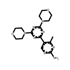 Cc1nc(N)ncc1-c1nc(N2CCOCC2)nc(N2CCOCC2)n1